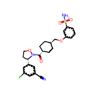 N#Cc1cc(F)cc([C@@H]2CCON2C(=O)[C@H]2CC[C@H](COc3cccc(S(N)(=O)=O)c3)CC2)c1